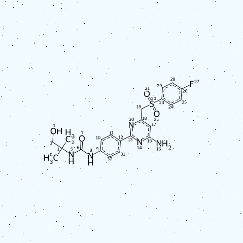 CC(C)(CO)NC(=O)Nc1ccc(-c2nc(N)cc(CS(=O)(=O)c3ccc(F)cc3)n2)cc1